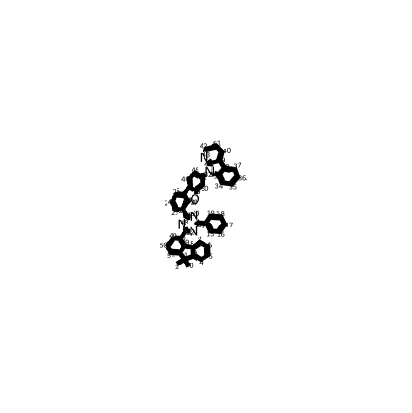 CC1(C)c2ccccc2-c2c(-c3nc(-c4ccccc4)nc(-c4cccc5c4oc4cc(-n6c7ccccc7c7cccnc76)ccc45)n3)cccc21